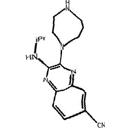 CC(C)Nc1nc2ccc(C#N)cc2nc1N1CCNCC1